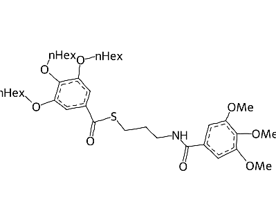 CCCCCCOc1cc(C(=O)SCCCNC(=O)c2cc(OC)c(OC)c(OC)c2)cc(OCCCCCC)c1OCCCCCC